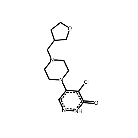 O=c1[nH]ncc(N2CCN(CC3CCOC3)CC2)c1Cl